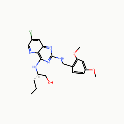 CCC[C@@H](CO)Nc1nc(NCc2ccc(OC)cc2OC)nc2cc(Cl)cnc12